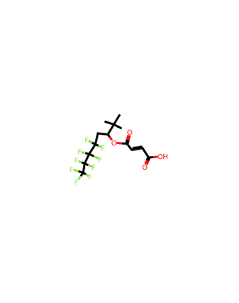 CC(C)(C)C(CC(F)(F)C(F)(F)C(F)(F)C(F)(F)F)OC(=O)C=CC(=O)O